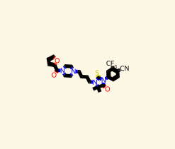 CC1(C)C(=O)N(c2ccc(C#N)c(C(F)(F)F)c2)C(=S)N1CCCCN1CCN(C(=O)c2ccco2)CC1